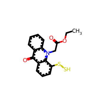 CCOC(=O)Cn1c2ccccc2c(=O)c2cccc(SS)c21